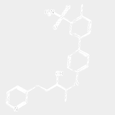 Cc1ccc(-c2ccc(OC(C)C(O)CCc3cccnc3)cc2)cc1S(N)(=O)=O